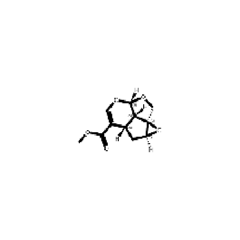 COC(=O)C1=CO[C@@H]2OC[C@]34O[C@H]3C[C@H]1[C@H]24